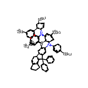 CC(C)(C)c1ccc(N2c3cc4c(cc3B3c5cc(C(C)(C)C)ccc5N(c5ccc(C(C)(C)C)cc5-c5cc(C(C)(C)C)cc(C(C)(C)C)c5)c5cc(C(C)(C)C)cc2c53)-c2ccc3c(c2C4(c2ccccc2)c2ccccc2)CCC3)cc1